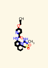 C#CCOc1ccc(C(=O)Nc2ccc3c(c2)[C@]2(CCC3)CS(=O)(=O)N(C)C(=N)N2)nc1